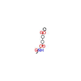 C=CC(=O)NCCOC(=O)C1CCC(C2CCC(C(=O)Oc3ccccc3)CC2)CC1